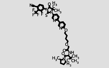 CC1CCCN1C(=O)[C@@H](NC(=O)COCCCCOc1ccc(-c2ccc(N3C(=S)N(c4ccc(C#N)c(C(F)(F)F)c4F)C(=O)C3(C)C)cn2)cn1)C(C)(C)C